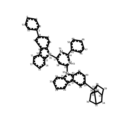 c1ccc(-c2ccc3c(c2)c2ccccc2n3-c2cc(-n3c4ccccc4c4cc(N5C6CC7CC(C6)CC5C7)ccc43)nc(-c3ccccc3)n2)cc1